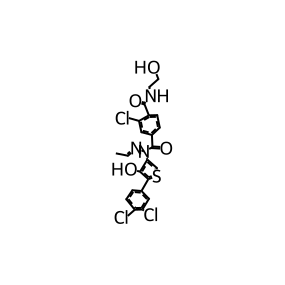 CC=NN(C(=O)c1ccc(C(=O)NCCO)c(Cl)c1)c1csc(-c2ccc(Cl)c(Cl)c2)c1O